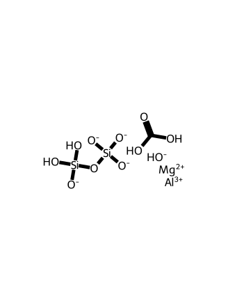 O=C(O)O.[Al+3].[Mg+2].[O-][Si]([O-])([O-])O[Si]([O-])(O)O.[OH-]